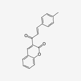 Cc1ccc(C=CC(=O)c2cc3ccccc3oc2=O)cc1